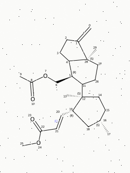 C=C1CCC2[C@H](COC(C)=O)C([C@@]3(C)CC[C@H](C)C[C@@H]3/C=C/C(=O)OC)CC[C@]12C